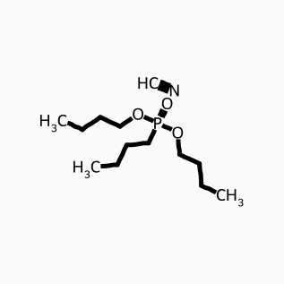 C#N.CCCCOP(=O)(CCCC)OCCCC